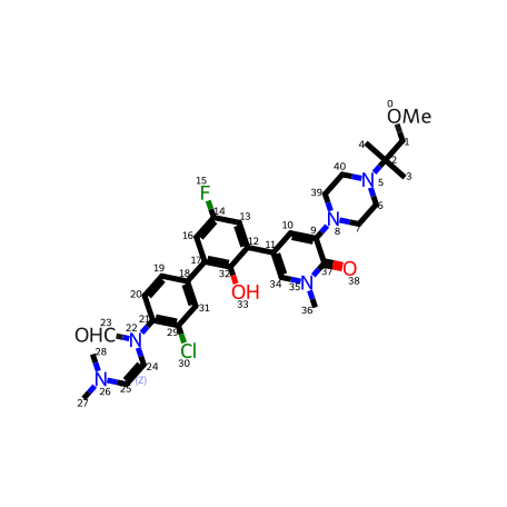 COCC(C)(C)N1CCN(c2cc(-c3cc(F)cc(-c4ccc(N(C=O)/C=C\N(C)C)c(Cl)c4)c3O)cn(C)c2=O)CC1